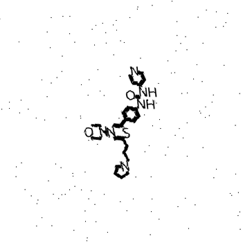 O=C(Nc1ccncc1)Nc1ccc(C2=CN(N3CCOCC3)C=C(CCCN3CCCC3)S2)cc1